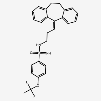 N=S(=O)(NCCC=C1c2ccccc2CCc2ccccc21)c1ccc(OC(F)(F)F)cc1